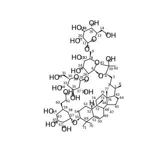 C[C@H](CC[C@@H](O[C@@H]1O[C@H](CO[C@@H]2O[C@H](CO)[C@@H](O)[C@H](O)[C@H]2O)[C@@H](O)[C@H](O)[C@H]1O[C@@H]1O[C@H](CO)[C@@H](O)[C@H](O)[C@H]1O)C(C)(C)O)[C@H]1CC[C@@]2(C)C3CC=C4[C@H](CC[C@H](O[C@@H]5C[C@H](CCO)[C@@H](O)[C@H](O)[C@H]5O)C4(C)C)[C@]3(C)CC[C@]12C